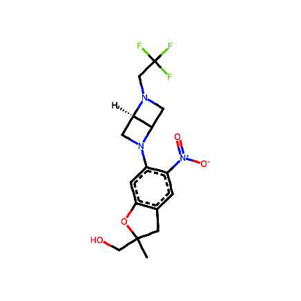 CC1(CO)Cc2cc([N+](=O)[O-])c(N3C[C@@H]4C3CN4CC(F)(F)F)cc2O1